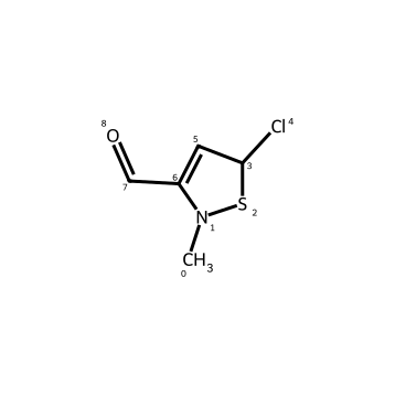 CN1SC(Cl)C=C1C=O